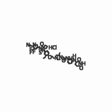 CCc1cc(N2C(=S)N(c3cnc(C#N)c(C(F)(F)F)c3)C(=O)C23CCC3)ccc1OCCN1CCN(CC(=O)Nc2cccc(NC3CCC(=O)NC3=O)c2)C(C)C1.Cl